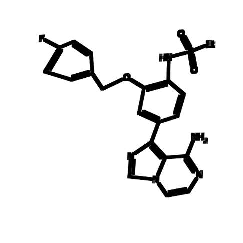 CCS(=O)(=O)Nc1ccc(-c2ncn3ccnc(N)c23)cc1OCc1ccc(F)cc1